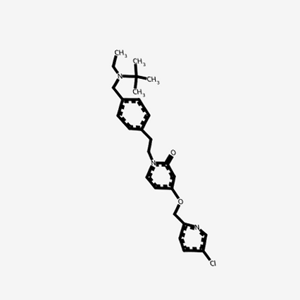 CCN(Cc1ccc(CCn2ccc(OCc3ccc(Cl)cn3)cc2=O)cc1)C(C)(C)C